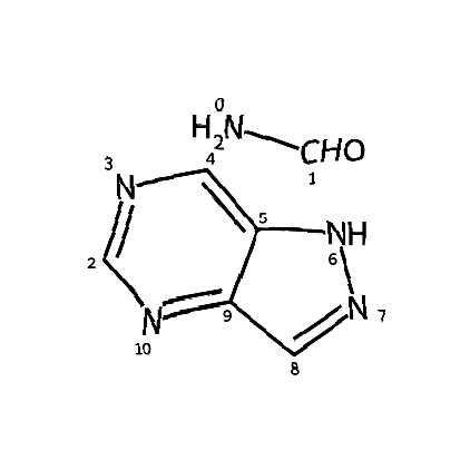 NC=O.c1ncc2[nH]ncc2n1